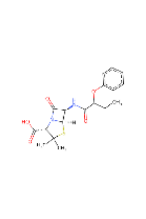 CCC(Oc1ccccc1)C(=O)N[C@@H]1C(=O)N2[C@@H]1SC(C)(C)[C@@H]2C(=O)O